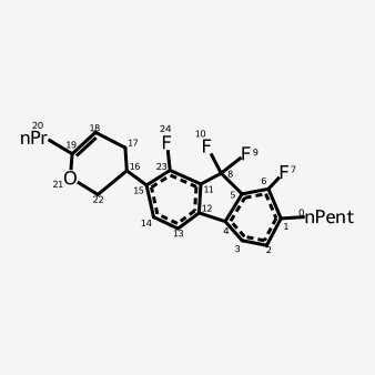 CCCCCc1ccc2c(c1F)C(F)(F)c1c-2ccc(C2CC=C(CCC)OC2)c1F